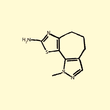 Cn1ncc2c1-c1sc(N)nc1CCC2